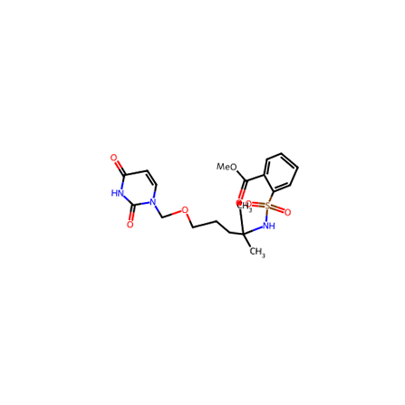 COC(=O)c1ccccc1S(=O)(=O)NC(C)(C)CCCOCn1ccc(=O)[nH]c1=O